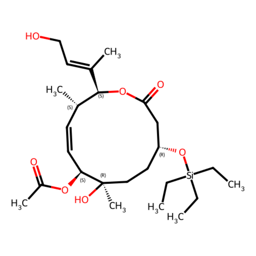 CC[Si](CC)(CC)O[C@@H]1CC[C@@](C)(O)[C@@H](OC(C)=O)C=C[C@H](C)[C@@H](C(C)=CCO)OC(=O)C1